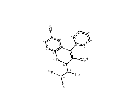 O=C(O)C1=C(c2ccccc2)c2cc(Cl)ccc2OC1C(F)C(F)F